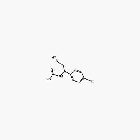 O=C(O)NC(CCO)c1ccc(Cl)nc1